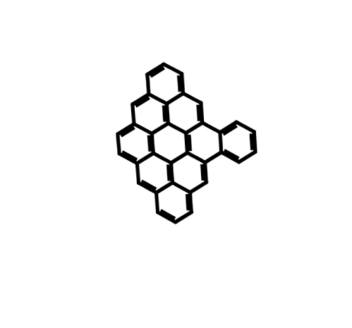 c1cc2cc3ccc4cc5cccc6cc7c8ccccc8c8cc(c1)c2c1c3c4c(c56)c7c81